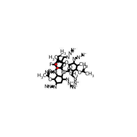 CCC1OC(OC2C(OC(C)=O)C(N=[N+]=[N-])CC(N=[N+]=[N-])C2OC2OC(CN=[N+]=[N-])C(C)C(F)C2N=[N+]=[N-])C(OC(C)=O)C1OC1OC(CN=[N+]=[N-])C(OC(C)=O)C(C)C1N=[N+]=[N-]